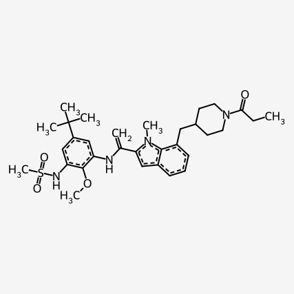 C=C(Nc1cc(C(C)(C)C)cc(NS(C)(=O)=O)c1OC)c1cc2cccc(CC3CCN(C(=O)CC)CC3)c2n1C